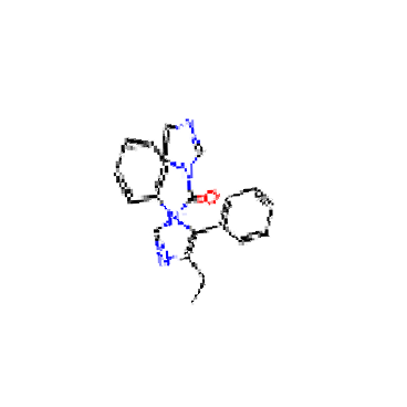 CCC1=C(c2ccccc2)[N+](C(=O)n2ccnc2)(c2ccccc2)C=N1